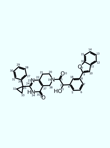 O=C(C(O)c1cccc(-c2cc3ccccc3o2)c1)N1CCc2nc(C3(c4ccccc4)CC3)[nH]c(=O)c2C1